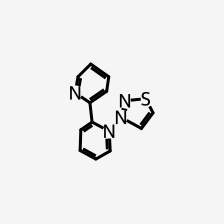 c1ccc(-c2ccccn2)nc1.c1csnn1